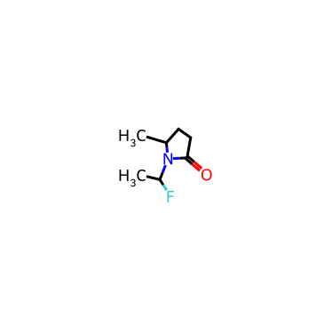 CC(F)N1C(=O)CCC1C